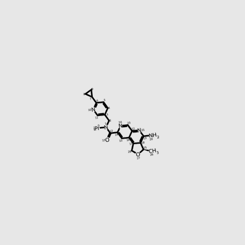 CC(C)N(Cc1ccc(C2CC2)nc1)C(=O)c1cc2c3c(c(N)nc2cn1)[C@@H](C)OC3